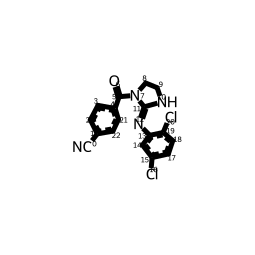 N#Cc1ccc(C(=O)N2CCNC2=Nc2cc(Cl)ccc2Cl)cc1